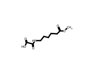 COC(=O)CCCCCNC(=O)C(=O)O